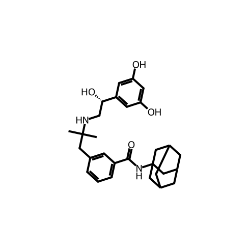 CC(C)(Cc1cccc(C(=O)NC23CC4CC(CC(C4)C2)C3)c1)NC[C@H](O)c1cc(O)cc(O)c1